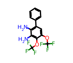 Nc1c(-c2ccccc2)cc(OC(F)(F)F)c(OC(F)(F)F)c1N